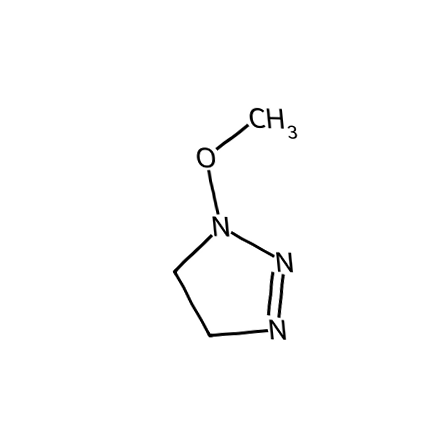 CON1CCN=N1